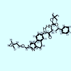 CC(C)(C)OC(=O)N[C@H](CCc1ccccc1)C(=O)Nc1ccc2c(c1)CCc1nn(COCC[Si](C)(C)C)cc1-2